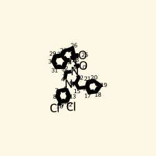 O=C(N1CCN(c2ccc(Cl)c(Cl)c2)C(Cc2ccccc2)C1)n1c(=O)ccc2ccccc21